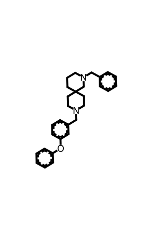 c1ccc(CN2CCCC3(CCN(Cc4cccc(Oc5ccccc5)c4)CC3)C2)cc1